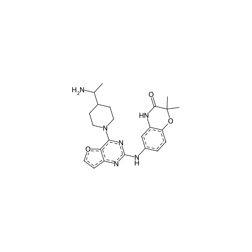 CC(N)C1CCN(c2nc(Nc3ccc4c(c3)NC(=O)C(C)(C)O4)nc3ccoc23)CC1